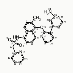 Cc1ccc2c(NS(=O)(=O)Cc3ccccn3)cccc2c1Oc1ncccc1-c1ccnc(N)n1